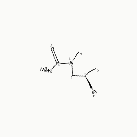 CNC(=O)N(C)C[C@@H](C)C(C)C